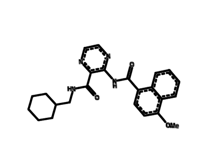 COc1ccc(C(=O)Nc2nccnc2C(=O)NCC2CCCCC2)c2ccccc12